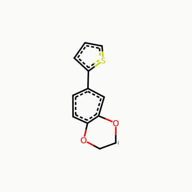 [C]1COc2ccc(-c3cccs3)cc2O1